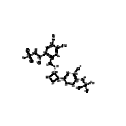 CS(=O)(=O)NC(=O)c1cc(Cl)c(F)cc1OC[C@H]1CCN1c1ccc(OC(F)(F)F)c(Cl)c1